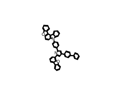 c1ccc(-c2ccc(-c3cc(-c4ccc(-n5c6ccccc6c6c7c(ccc65)oc5ccccc57)cc4)nc(-c4cccc5c4oc4ccccc45)c3)cc2)cc1